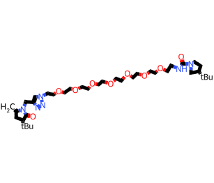 C=C1CC(C(C)(C)C)C(=O)N1Cc1cn(CCOCCOCCOCCOCCOCCOCCOCCNC(=O)N2CCC(C(C)(C)C)C2)nn1